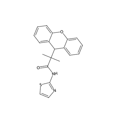 CC(C)(C(=O)Nc1nccs1)C1c2ccccc2Oc2ccccc21